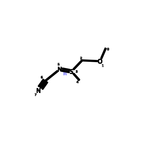 COC/S(C)=N/C#N